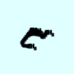 CCCCC/C=C\C/C=C\CCCCCCCCOCC(CC(C)CCCN(C)C)OCCCCCCCC/C=C\C/C=C\CCCCC